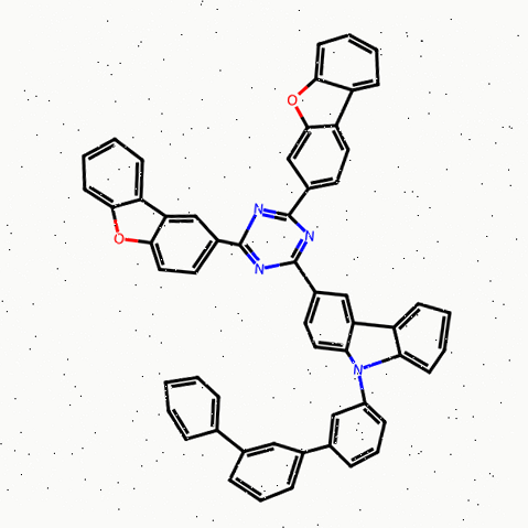 c1ccc(-c2cccc(-c3cccc(-n4c5ccccc5c5cc(-c6nc(-c7ccc8c(c7)oc7ccccc78)nc(-c7ccc8oc9ccccc9c8c7)n6)ccc54)c3)c2)cc1